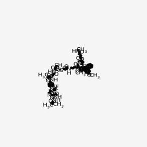 CNC(=O)CCC(=O)O[C@@H]1C[C@@H](COC(c2ccccc2)(c2ccc(OC)cc2)c2ccc(OC)cc2)N(C(=O)CCCCCNC(=O)CCSSC[C@@H](NC(=O)CC[C@H](NC(=O)c2ccc(N(Cc3cnc4nc(NC(=O)C(C)C)[nH]c(=O)c4n3)C(=O)C(F)(F)F)cc2)C(=O)OC)C(=O)OC)C1